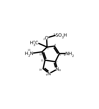 CC1(OS(=O)(=O)O)C=C(N)C2=NN=CC2=C1N